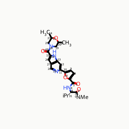 CNC(=O)[C@@H](NC(=O)c1ccc(-c2cc3[nH]c(C(=O)N4CC(C)OC(C)C4)cc3cn2)o1)C(C)C